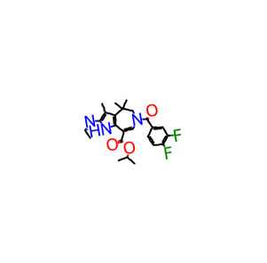 C/C=N\c1[nH]c2c(c1C)C(C)(C)CN(C(=O)c1ccc(F)c(F)c1)C=C2C(=O)OC(C)C